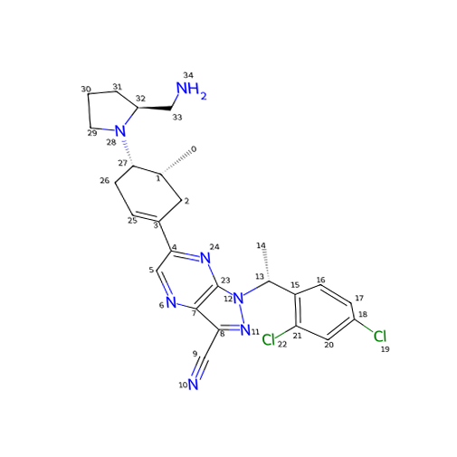 C[C@@H]1CC(c2cnc3c(C#N)nn([C@H](C)c4ccc(Cl)cc4Cl)c3n2)=CC[C@@H]1N1CCC[C@H]1CN